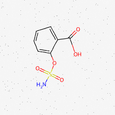 NS(=O)(=O)Oc1ccccc1C(=O)O